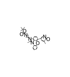 Cc1cc(-c2ccc3c(nc(C)n3C3CN(C(=O)OC(C)(C)C)C3)c2Oc2ccccc2)cn(C)c1=O